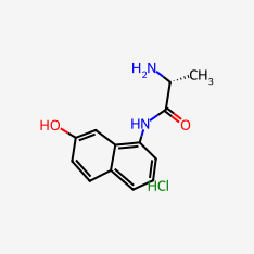 C[C@@H](N)C(=O)Nc1cccc2ccc(O)cc12.Cl